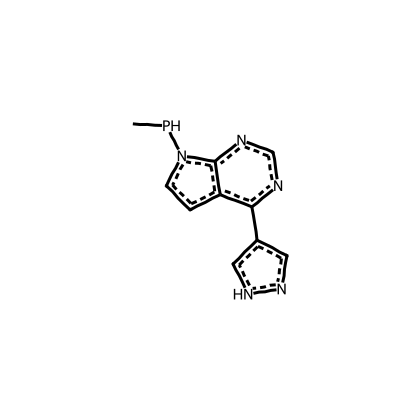 CPn1ccc2c(-c3cn[nH]c3)ncnc21